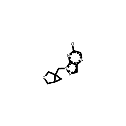 Clc1cnc2cnn(CC34COCC3C4)c2n1